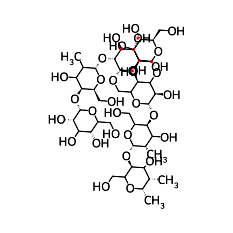 CC1C(O)[C@H](O[C@@H]2OC(CO)[C@H](O)C(O)[C@@H]2O)[C@H](CO)O[C@H]1O[C@@H]1C(O)[C@H](O)C(CO)O[C@@H]1OCC1O[C@@H](O[C@@H]2C(CO)O[C@@H](O[C@@H]3C(CO)O[C@@H](C)[C@@H](C)C3O)[C@@H](C)C2O)[C@H](O)C(O[C@H]2O[C@H](CO)[C@@H](O)C(O)C2O)[C@@H]1O